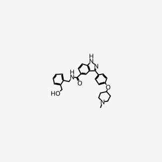 CN1CCC(Oc2ccc(-c3n[nH]c4ccc(C(=O)NCc5ccccc5CO)cc34)cc2)CC1